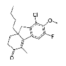 CCCCC12CCC(=O)C(C)=C1c1cc(F)c(OC)c(Cl)c1C2